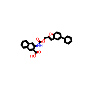 O=C(Nc1cc2ccccc2cc1C(=O)O)OCc1cc2cc(-c3ccccc3)ccc2o1